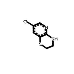 Clc1[c]nc2c(c1)SCCN2